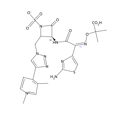 Cc1c[n+](C)ccc1-c1cn(CC2[C@H](NC(=O)/C(=N\OC(C)(C)C(=O)O)c3csc(N)n3)C(=O)N2S(=O)(=O)[O-])nn1